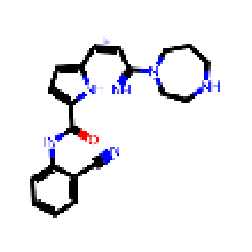 N#Cc1ccccc1NC(=O)c1ccc(/C=C\C(=N)N2CCCNCC2)[nH]1